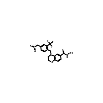 O=C(NO)c1ccc2c(c1)N(Cc1ccc(C[SH](=O)=O)cc1C(F)(F)F)CCO2